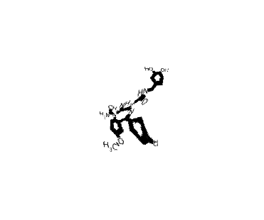 COc1ccc2c(c1)C(c1ccc(Cl)cc1)=N[C@@H](CC(=O)NCc1ccc(O)c(O)c1)C(N)N2C(C)N